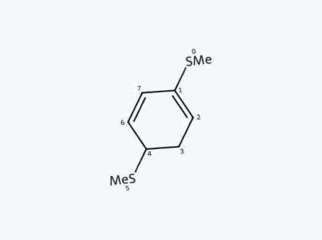 CSC1=CCC(SC)C=C1